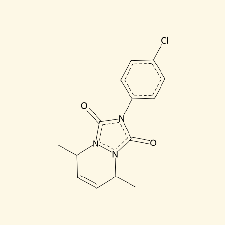 CC1C=CC(C)n2c(=O)n(-c3ccc(Cl)cc3)c(=O)n21